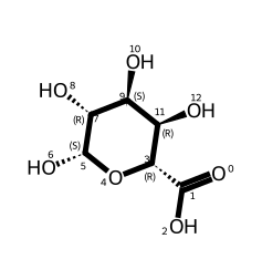 O=C(O)[C@@H]1O[C@H](O)[C@H](O)[C@@H](O)[C@H]1O